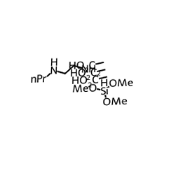 CC(=O)O.CC(=O)O.CC(=O)O.CCCNCCN.CO[SiH](OC)OC